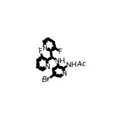 CC(=O)Nc1ncc(Br)cc1NC(c1ncccc1F)c1ncccc1F